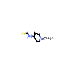 CCOC(=O)N1CCC(NCS)CC1